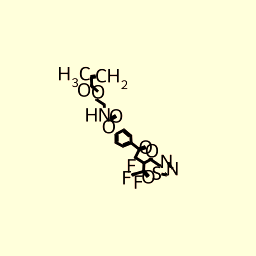 C=C(C)C(=O)OCCNC(=O)Oc1ccc(C(=O)CC(C(=O)c2nncs2)C(=O)C(F)(F)F)cc1